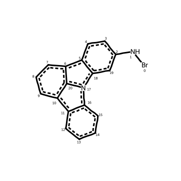 BrNc1ccc2c3cccc4c5ccccc5n(c2c1)c43